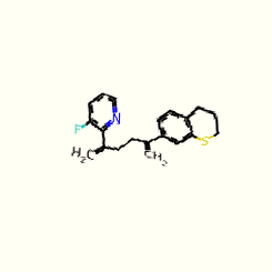 C=C(CCC(=C)c1ncccc1F)c1ccc2c(c1)SCCC2